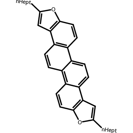 CCCCCCCc1cc2c(ccc3c2ccc2c4ccc5oc(CCCCCCC)cc5c4ccc32)o1